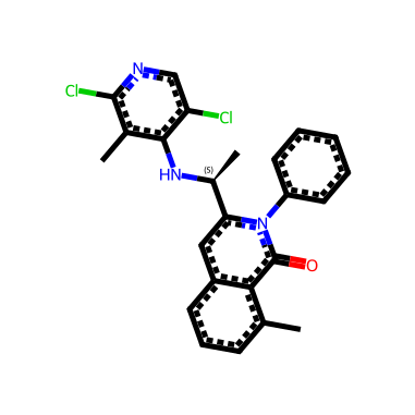 Cc1c(Cl)ncc(Cl)c1N[C@@H](C)c1cc2cccc(C)c2c(=O)n1-c1ccccc1